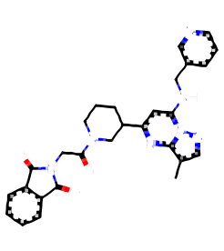 Cc1cnn2c(NCc3cccnc3)cc(C3CCCN(C(=O)CN4C(=O)c5ccccc5C4=O)C3)nc12